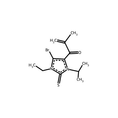 C=C(C)C(=O)c1c(Br)n(CC)c(=S)n1C(C)C